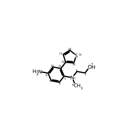 CN(CCO)c1ccc(N)cc1-c1ccsc1